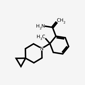 C=C(N)C1=CC=CCC1(C)N1CCC2(CC1)CC2